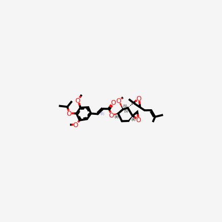 COc1cc(/C=C/C(=O)O[C@@H]2CC[C@]3(CO3)[C@@H](C3(C)OC3CC=C(C)C)[C@@H]2OC)cc(OC)c1OC(C)C